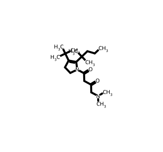 CCCC(C)(C)C1=C(C(C)(C)C)CCN1C(=O)CC(=O)CN(C)C